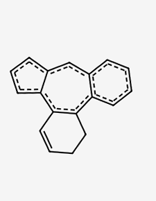 C1=Cc2c3cccc-3cc3ccccc3c2CC1